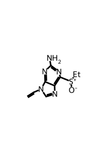 C=Cn1cnc2c([S+]([O-])CC)nc(N)nc21